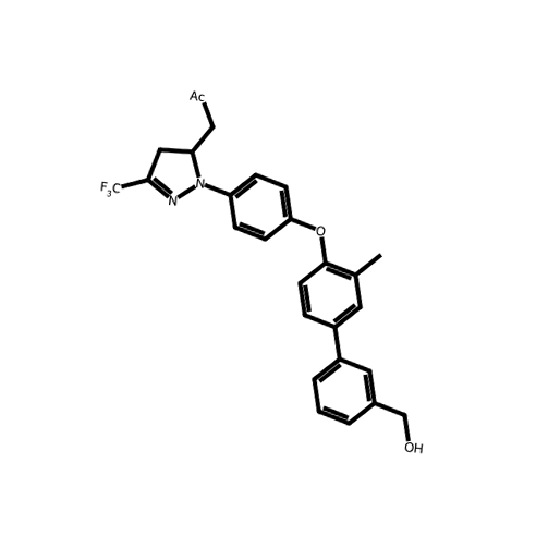 CC(=O)CC1CC(C(F)(F)F)=NN1c1ccc(Oc2ccc(-c3cccc(CO)c3)cc2C)cc1